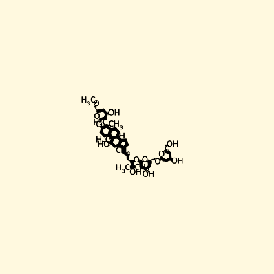 COC[C@@H]1C[C@H](O)C[C@H](O[C@H]2CCC3C(=CC[C@H]4C5CCC(CCC[C@@H](O[C@H]6C[C@@H](O)C[C@@H](CO[C@H]7C[C@@H](O)C[C@@H](CO)O7)O6)C(C)(C)O)[C@@]5(C)C[C@@H](O)[C@@]34C)C2(C)C)O1